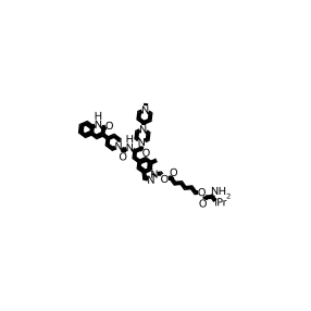 Cc1cc(CC(NC(=O)N2CCC(c3cc4ccccc4[nH]c3=O)CC2)C(=O)N2CCN(C3CCN(C)CC3)CC2)cc2cnn(COC(=O)CCCCCOC(=O)C(N)C(C)C)c12